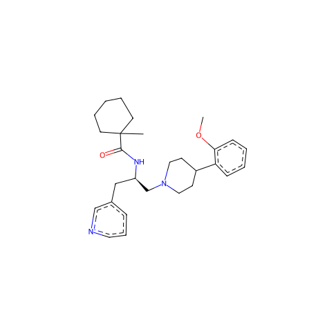 COc1ccccc1C1CCN(C[C@@H](Cc2cccnc2)NC(=O)C2(C)CCCCC2)CC1